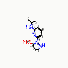 CC(C)Nc1cccc(N2NCCC2O)n1